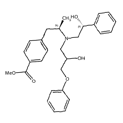 COC(=O)c1ccc(C[C@@H](C)N(CC(O)COc2ccccc2)C[C@H](O)c2ccccc2)cc1